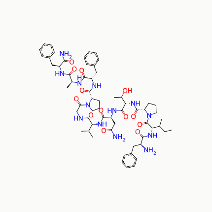 CCC(C)[C@H](NC(=O)[C@@H](N)Cc1ccccc1)C(=O)N1CCC[C@H]1C(=O)N[C@H](C(=O)N[C@@H](CC(N)=O)C(=O)N[C@H](C(=O)NCC(=O)N1CCC[C@H]1C(=O)N[C@@H](Cc1ccccc1)C(=O)N[C@@H](C)C(=O)N[C@@H](Cc1ccccc1)C(N)=O)C(C)C)C(C)O